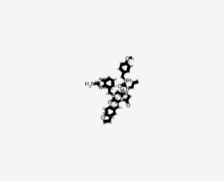 C=CCN(C(=O)NCc1ccc(OC)cc1)N1CC(=O)N2[C@@H](Cc3ccc4occc4c3)C(=O)N(Cc3cccc4sc(N)nc34)C[C@@H]21